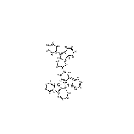 C1=Cc2c(oc3ccccc23)C(n2c3ccccc3c3cc(-c4ccc5c(c4)c4ccccc4n5-c4ccccc4)ccc32)CC1